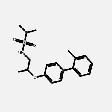 Cc1ccccc1-c1ccc(OC(C)CNS(=O)(=O)C(C)C)cc1